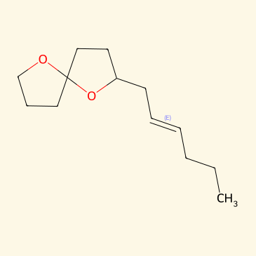 CCC/C=C/CC1CCC2(CCCO2)O1